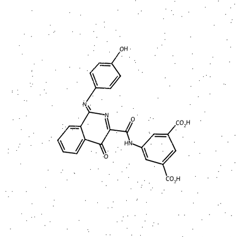 O=C(Nc1cc(C(=O)O)cc(C(=O)O)c1)C1=NC(=Nc2ccc(O)cc2)c2ccccc2C1=O